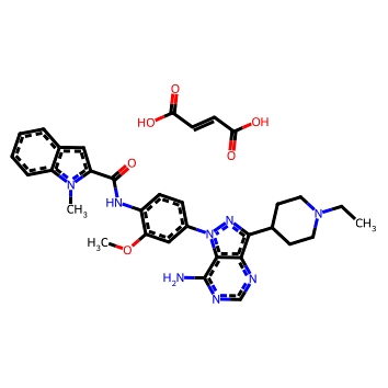 CCN1CCC(c2nn(-c3ccc(NC(=O)c4cc5ccccc5n4C)c(OC)c3)c3c(N)ncnc23)CC1.O=C(O)C=CC(=O)O